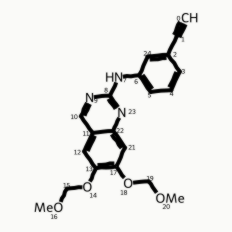 C#Cc1cccc(Nc2ncc3cc(OCOC)c(OCOC)cc3n2)c1